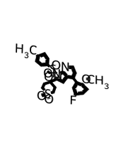 COc1ccc(F)cc1-c1ccnc2c1cc(C1(O)CCS(=O)(=O)CC1)n2S(=O)(=O)c1ccc(C)cc1